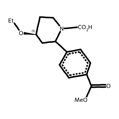 CCO[C@H]1CCN(C(=O)O)C(c2ccc(C(=O)OC)cc2)C1